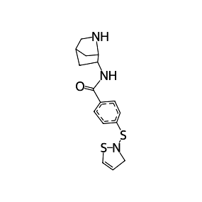 O=C(NC1CC2CNC1C2)c1ccc(SN2CC=CS2)cc1